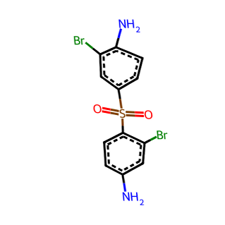 Nc1ccc(S(=O)(=O)c2ccc(N)c(Br)c2)c(Br)c1